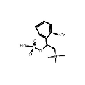 CCCc1ccccc1C(C[N+](C)(C)C)OP(=O)([O-])O